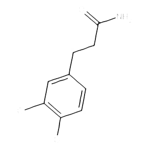 NC(=O)CCc1ccc(Cl)c(Cl)c1